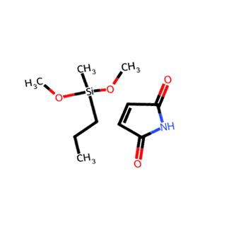 CCC[Si](C)(OC)OC.O=C1C=CC(=O)N1